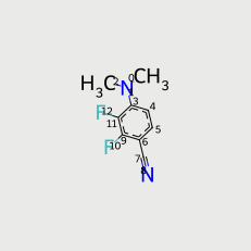 CN(C)c1ccc(C#N)c(F)c1F